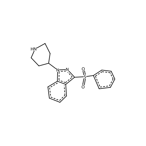 O=S(=O)(c1ccccc1)c1nn(C2CCNCC2)c2ccccc12